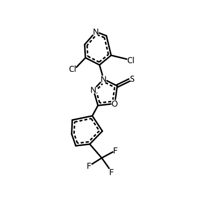 FC(F)(F)c1cccc(-c2nn(-c3c(Cl)cncc3Cl)c(=S)o2)c1